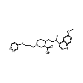 COc1ccc2nccc([C@H](F)CC[C@@H]3CCN(CCCSc4ccnnc4)C[C@@H]3C(=O)O)c2c1